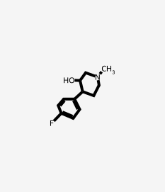 CN1CCC(c2ccc(F)cc2)C(O)C1